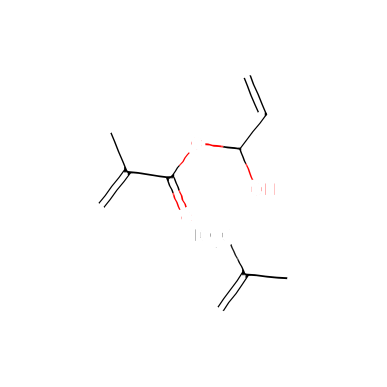 C=C(C)C(=O)O.C=CC(O)OC(=O)C(=C)C